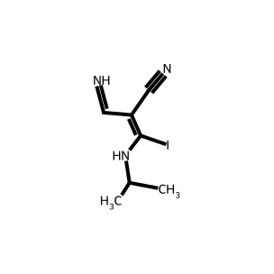 CC(C)N/C(I)=C(/C#N)C=N